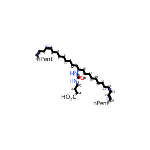 CCCCC/C=C\C/C=C\CCCCCCCCC(CCCCCCCC/C=C\C=C\CCCCC)NC(=O)NCCCC(=O)O